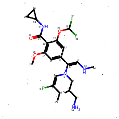 CC/C(F)=C\N(CC(C)CN)/C(=C\NC)c1cc(OC)c(C(=O)NC2CC2)c(OC(F)F)c1